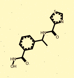 CC(NC(=O)c1cscn1)c1cccc(C(=O)NO)c1